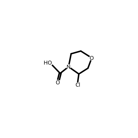 O=C(O)N1CCOCC1Cl